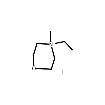 CC[N+]1(C)CCOCC1.[I-]